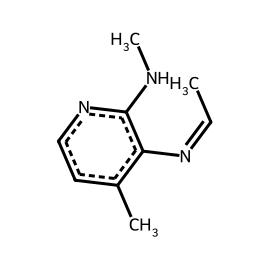 C/C=N\c1c(C)ccnc1NC